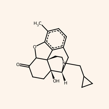 Cc1ccc2c3c1OC1C(=O)CC[C@@]4(O)[C@@H](C2)N(CC2CC2)CC[C@]314